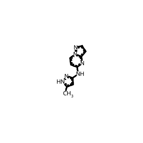 Cc1cc(Nc2ccn3nccc3n2)n[nH]1